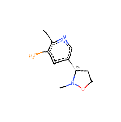 Cc1ncc([C@@H]2CCON2C)cc1P